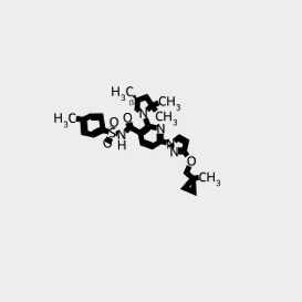 Cc1ccc(S(=O)(=O)NC(=O)c2ccc(-n3ccc(OCC4(C)CC4)n3)nc2N2C[C@@H](C)CC2(C)C)cc1